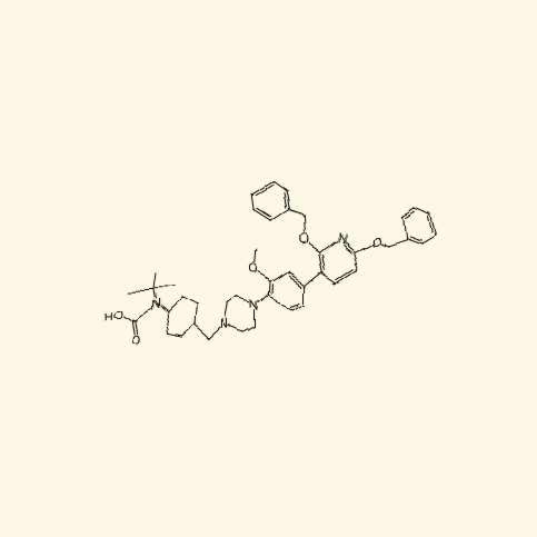 COc1cc(-c2ccc(OCc3ccccc3)nc2OCc2ccccc2)ccc1N1CCN(CC2CCC(N(C(=O)O)C(C)(C)C)CC2)CC1